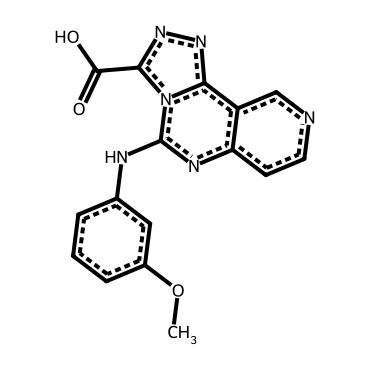 COc1cccc(Nc2nc3ccncc3c3nnc(C(=O)O)n23)c1